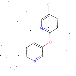 Fc1ccc(Oc2cccnc2)nc1